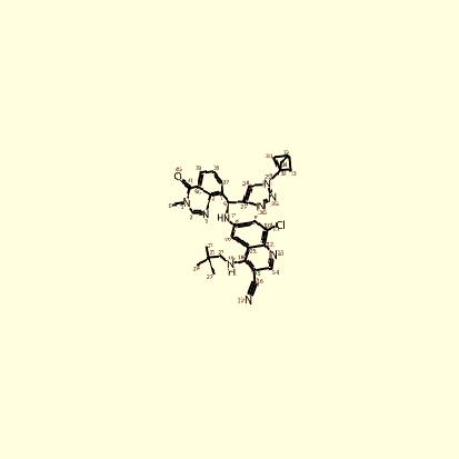 Cn1cnc2c([C@H](Nc3cc(Cl)c4ncc(C#N)c(NCC(C)(C)C)c4c3)c3cn(C45CC(C4)C5)nn3)cccc2c1=O